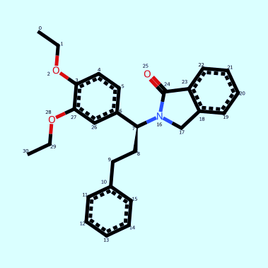 CCOc1ccc([C@H](CCc2ccccc2)N2Cc3ccccc3C2=O)cc1OCC